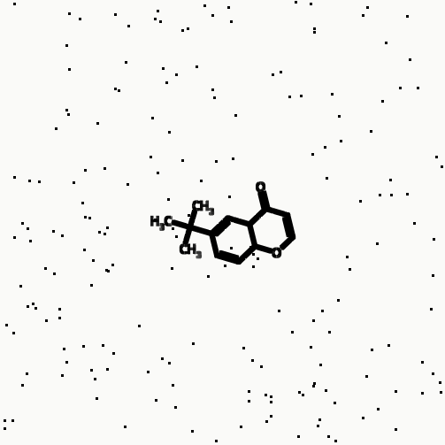 CC(C)(C)C1=CC2C(=O)C=COC2C=C1